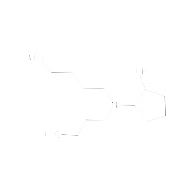 CCCCN(CCCCO)C1CCCC1C